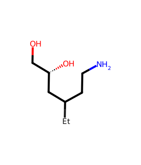 CCC(CCN)C[C@@H](O)CO